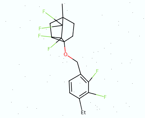 CCc1ccc(COC23CCC(C)(CC2)C(F)(F)C3(F)F)c(F)c1F